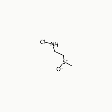 C[S+]([O-])CCNCl